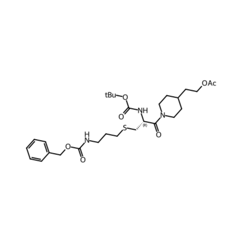 CC(=O)OCCC1CCN(C(=O)[C@H](CSCCCNC(=O)OCc2ccccc2)NC(=O)OC(C)(C)C)CC1